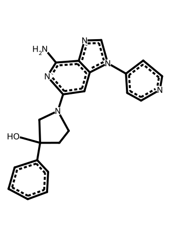 Nc1nc(N2CCC(O)(c3ccccc3)C2)cc2c1ncn2-c1ccncc1